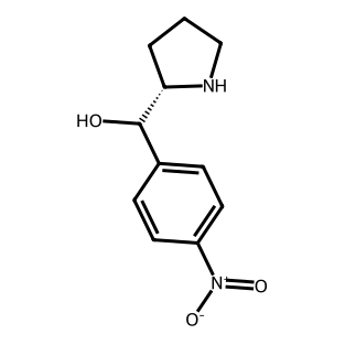 O=[N+]([O-])c1ccc(C(O)[C@@H]2CCCN2)cc1